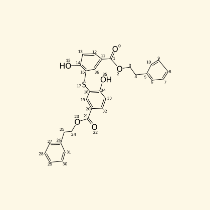 O=C(OCCc1ccccc1)c1ccc(O)c(Sc2cc(C(=O)OCCc3ccccc3)ccc2O)c1